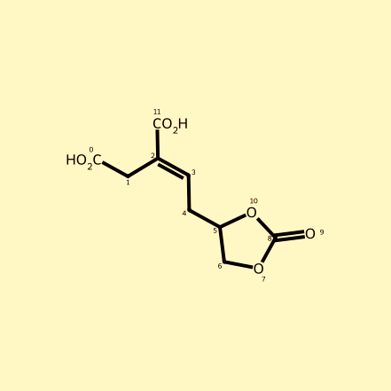 O=C(O)CC(=CCC1COC(=O)O1)C(=O)O